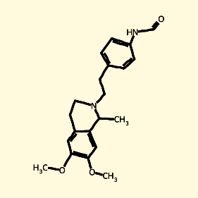 COc1cc2c(cc1OC)C(C)N(CCc1ccc(NC=O)cc1)CC2